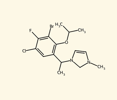 CC(C)Oc1c(C(C)N2C=CN(C)C2)cc(Cl)c(F)c1Br